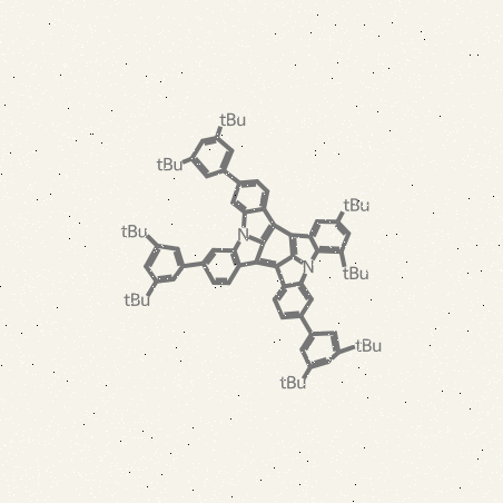 CC(C)(C)c1cc(-c2ccc3c4c5c6ccc(-c7cc(C(C)(C)C)cc(C(C)(C)C)c7)cc6n6c7c(C(C)(C)C)cc(C(C)(C)C)cc7c(c7c8ccc(-c9cc(C(C)(C)C)cc(C(C)(C)C)c9)cc8n(c3c2)c47)c56)cc(C(C)(C)C)c1